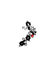 CC(C)(CNC(=O)c1[nH]cnc1C(=O)Nc1ccc(NC(=O)c2ccc(F)cc2Cl)cc1)N1CCCCC1